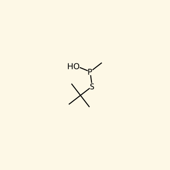 CP(O)SC(C)(C)C